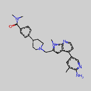 Cc1cc(-c2ccnc3c2cc(CN2CCC(c4ccc(C(=O)N(C)C)cc4)CC2)n3C)cnc1N